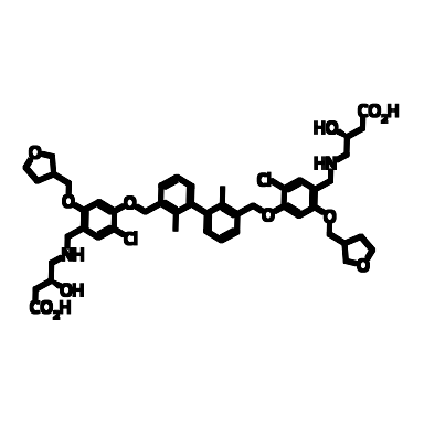 Cc1c(COc2cc(OCC3CCOC3)c(CNC[C@@H](O)CC(=O)O)cc2Cl)cccc1-c1cccc(COc2cc(OCC3CCOC3)c(CNC[C@@H](O)CC(=O)O)cc2Cl)c1C